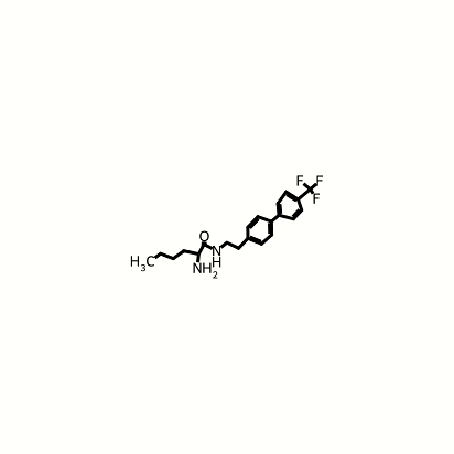 CCCCC(N)C(=O)NCCc1ccc(-c2ccc(C(F)(F)F)cc2)cc1